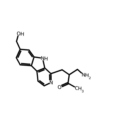 CC(=O)C(CN)Cc1nccc2c1[nH]c1cc(CO)ccc12